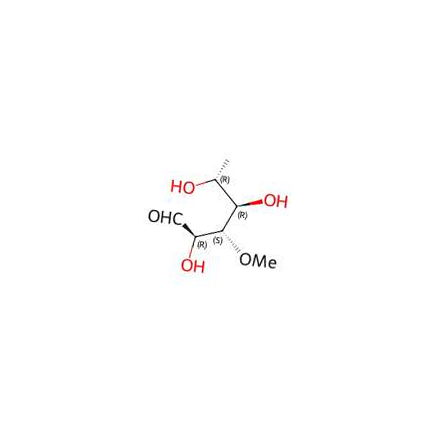 CO[C@@H]([C@H](O)[C@@H](C)O)[C@@H](O)C=O